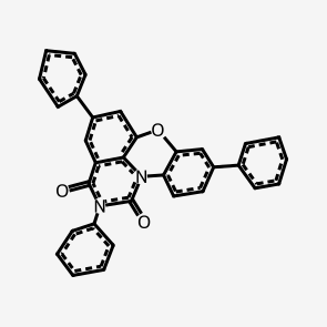 O=c1c2cc(-c3ccccc3)cc3c2n(c(=O)n1-c1ccccc1)-c1ccc(-c2ccccc2)cc1O3